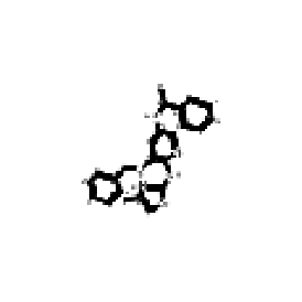 Cc1csc(Nc2ncc(SC(C)c3ccccc3)cc2OCc2ccccc2)n1